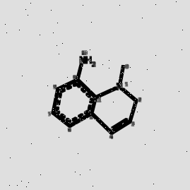 CN1CC=Cc2cccc(N)c21